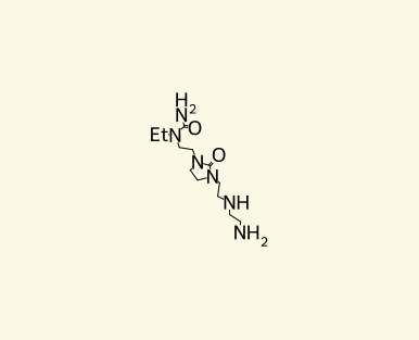 CCN(CCN1CCN(CCNCCN)C1=O)C(N)=O